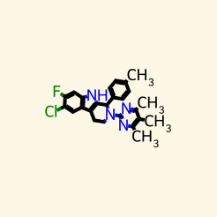 Cc1ccc(C2c3[nH]c4cc(F)c(Cl)cc4c3CCN2c2nc(C)c(C)c(C)n2)cc1